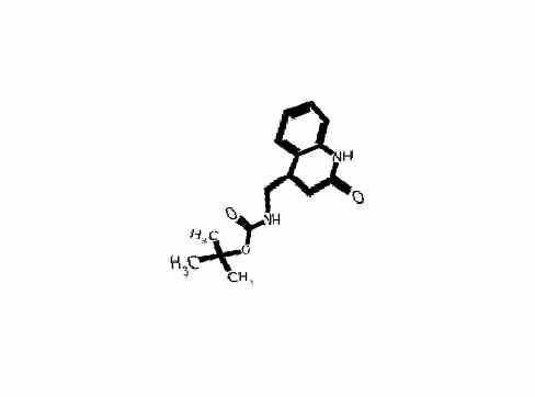 CC(C)(C)OC(=O)NCC1CC(=O)Nc2ccccc21